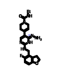 CCNC(=O)N1CC=C(c2cnc(NCc3c(F)ccc4c3CCO4)[nH]/c2=N\N)CC1